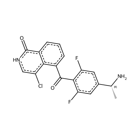 C[C@@H](N)c1cc(F)c(C(=O)c2cccc3c(=O)[nH]cc(Cl)c23)c(F)c1